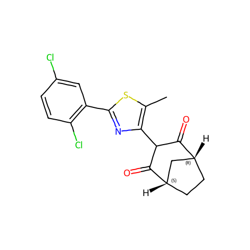 Cc1sc(-c2cc(Cl)ccc2Cl)nc1C1C(=O)[C@@H]2CC[C@@H](C2)C1=O